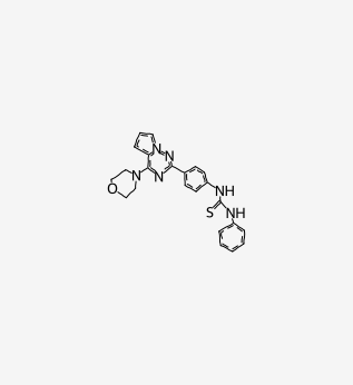 S=C(Nc1ccccc1)Nc1ccc(-c2nc(N3CCOCC3)c3cccn3n2)cc1